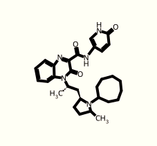 CC1CC[C@@H](C[C@H](C)n2c(=O)c(C(=O)Nc3ccc(=O)[nH]c3)nc3ccccc32)N1C1CCCCCCC1